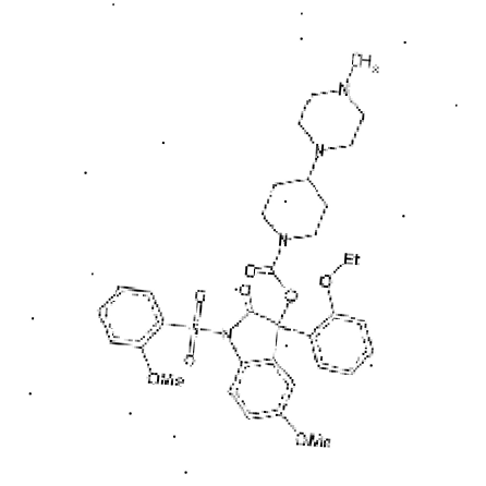 CCOc1ccccc1C1(OC(=O)N2CCC(N3CCN(C)CC3)CC2)C(=O)N(S(=O)(=O)c2ccccc2OC)c2ccc(OC)cc21